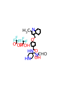 Cc1cc(COc2ccc(C(=O)NC3(CN(O)C=O)CCNCC3)cc2)c2ccccc2n1.O=C(O)C(F)(F)F.O=C(O)C(F)(F)F